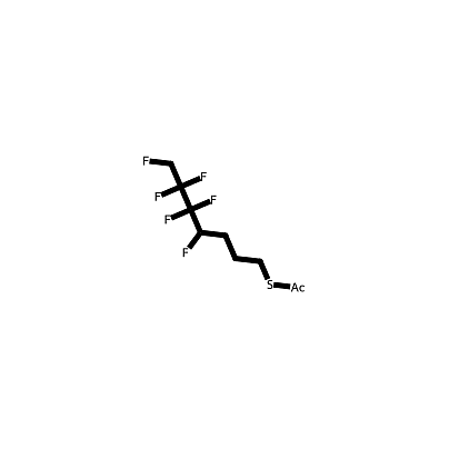 CC(=O)SCCCC(F)C(F)(F)C(F)(F)CF